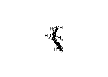 Cc1cc(OC[C@H](O)CO)ccc1-c1cccc(COc2ccc(Cn3oc(=O)[nH]c3=O)cc2)c1C